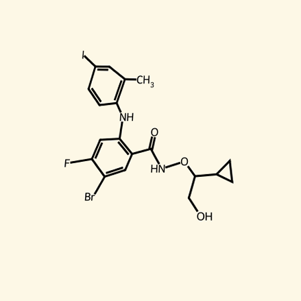 Cc1cc(I)ccc1Nc1cc(F)c(Br)cc1C(=O)NOC(CO)C1CC1